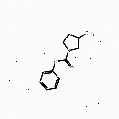 CC1CCN(C(=O)Oc2ccccc2)C1